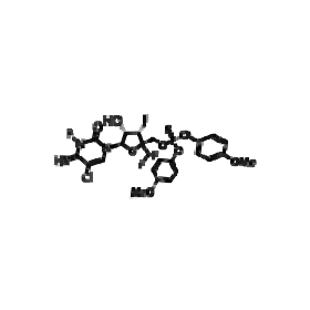 COc1ccc(OP(=S)(OC[C@@]2(C(F)F)O[C@@H](n3cc(Cl)c(=N)n(F)c3=O)[C@H](O)[C@@H]2F)Oc2ccc(OC)cc2)cc1